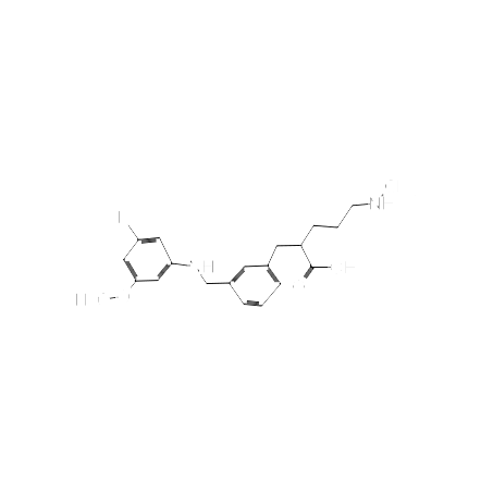 CNCCCC(Cc1cccc(CNc2cc(F)cc(OC)c2)c1)C(=O)O